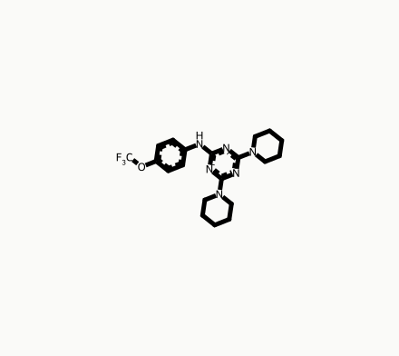 FC(F)(F)Oc1ccc(Nc2nc(N3CCCCC3)nc(N3CCCCC3)n2)cc1